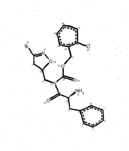 N[C@@H](Cc1ccccc1)C(=O)N(CC1CC(Br)=NO1)C(=O)OCc1ccccc1Cl